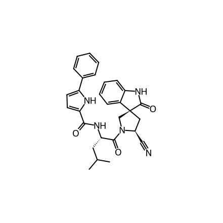 CC(C)C[C@H](NC(=O)c1ccc(-c2ccccc2)[nH]1)C(=O)N1C[C@]2(C[C@H]1C#N)C(=O)Nc1ccccc12